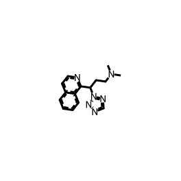 CN(C)CCC(c1nccc2ccccc12)n1ncnn1